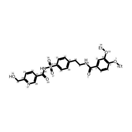 CCOc1ccc(C(=O)NCCc2ccc(S(=O)(=O)NC(=O)c3ccc(CO)nc3)cc2)cc1OCC